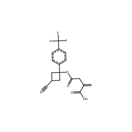 C=C(CC(=O)OC1(c2ccc(C(F)(F)F)cc2)CC(C#N)C1)C(=O)O